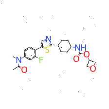 CC(=O)N(C)c1ccc(-c2cnc([C@H]3CC[C@H](NC(=O)OC4COC4)CC3)s2)c(F)c1